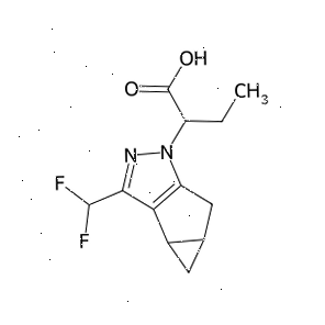 CCC(C(=O)O)n1nc(C(F)F)c2c1CC1CC21